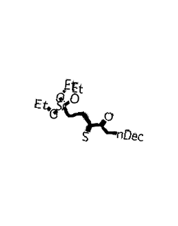 CCCCCCCCCCCC(=O)C(=S)CC[Si](OCC)(OCC)OCC